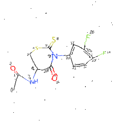 CC(=O)NC1CSC(=S)N(c2ccc(F)c(F)c2)C1=O